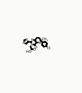 C[C@@]1(c2ccc(Cl)cc2)CCc2nc(-c3cncs3)n(CC(=O)O)c(=O)c2N1